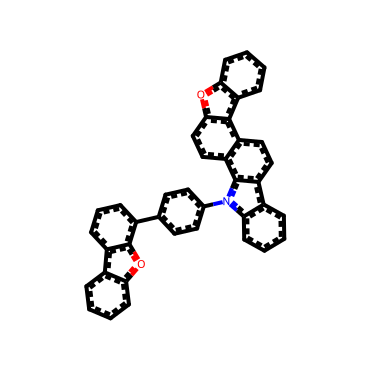 c1ccc2c(c1)oc1c(-c3ccc(-n4c5ccccc5c5ccc6c(ccc7oc8ccccc8c76)c54)cc3)cccc12